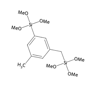 CO[Si](Cc1cc(C)cc([Si](OC)(OC)OC)c1)(OC)OC